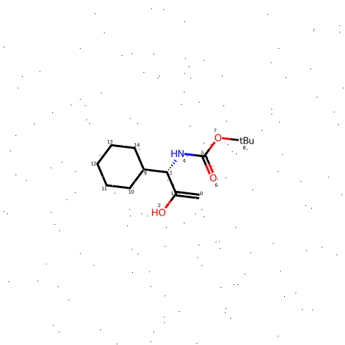 C=C(O)[C@@H](NC(=O)OC(C)(C)C)C1CCCCC1